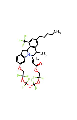 C=CC(=O)OCC(F)(F)OC(F)(F)OC(F)(F)OC(F)(F)COc1ccc2cc3n(c2c1)CC(C)c1cc(CCCCC)cc(C(F)(F)F)c1-3